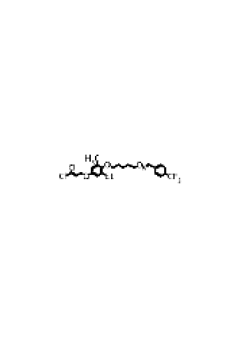 CCc1cc(OCC=C(Cl)Cl)cc(C)c1OCCCCCON=Cc1ccc(C(F)(F)F)cc1